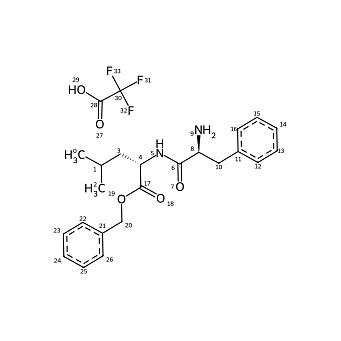 CC(C)C[C@H](NC(=O)[C@@H](N)Cc1ccccc1)C(=O)OCc1ccccc1.O=C(O)C(F)(F)F